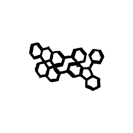 C1=CCNC(c2ccc3c(c2)Sc2ccccc2C32c3ccccc3Sc3ccc(-c4ccc5c(c4)C4C=CC=CC4N5c4ccccc4)cc32)=C1